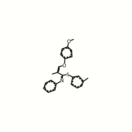 COc1ccc(OC=C(C)C(=Nc2ccccc2)Sc2cccc(C)c2)cc1